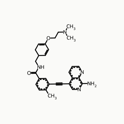 Cc1ccc(C(=O)NCC2C=CC(OCCN(C)C)=CC2)cc1C#Cc1cnc(N)c2ncccc12